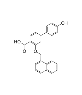 O=C(O)c1ccc(-c2ccc(O)cc2)cc1OCc1cccc2ccccc12